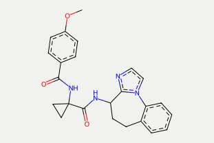 COc1ccc(C(=O)NC2(C(=O)NC3CCc4ccccc4-n4ccnc43)CC2)cc1